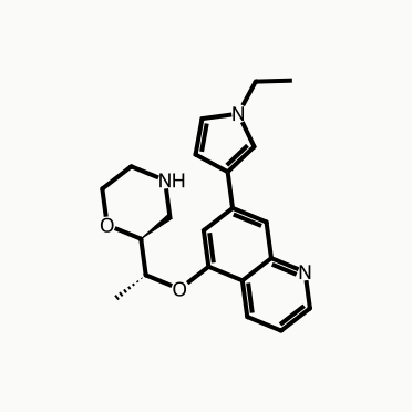 CCn1ccc(-c2cc(O[C@H](C)[C@@H]3CNCCO3)c3cccnc3c2)c1